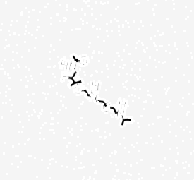 CC(=O)NCC(F)C(C)(C)OCCNCCOCCNC(C)C